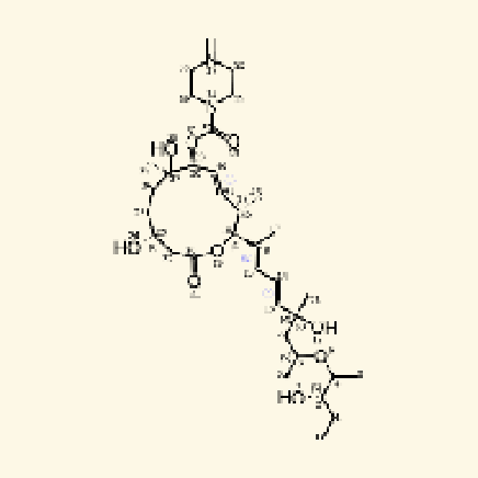 CC[C@H](O)C(C)O[C@@H](C)C[C@@](C)(O)/C=C/C=C(\C)[C@H]1OC(=O)C[C@H](O)CC[C@@](C)(O)[C@@H](OC(=O)N2CCNCC2)/C=C/[C@@H]1C